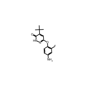 CC(C)(C)c1cc(Oc2ccc(N)cc2F)n[nH]c1=O